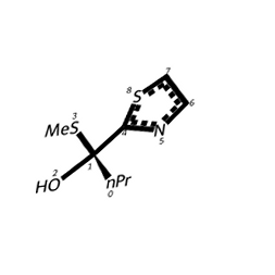 CCC[C@@](O)(SC)c1nccs1